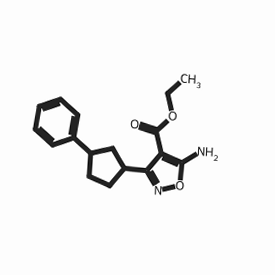 CCOC(=O)c1c(C2CCC(c3ccccc3)C2)noc1N